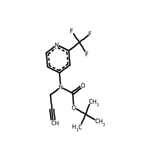 C#CCN(C(=O)OC(C)(C)C)c1ccnc(C(F)(F)F)c1